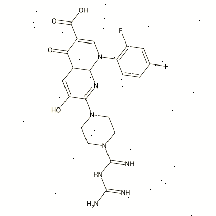 N=C(N)NC(=N)N1CCN(C2=NC3C(C=C2O)C(=O)C(C(=O)O)=CN3c2ccc(F)cc2F)CC1